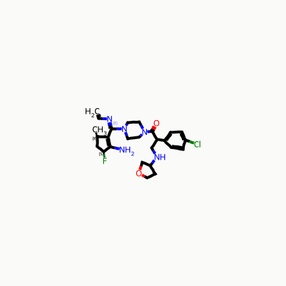 C=C/N=C(\C1=C(N)[C@@H](F)C[C@H]1C)N1CCN(C(=O)C(CNC2CCOC2)c2ccc(Cl)cc2)CC1